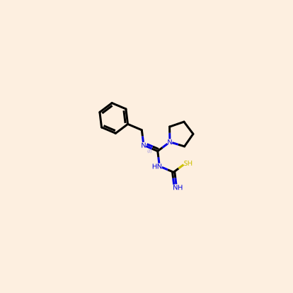 N=C(S)N/C(=N/Cc1ccccc1)N1CCCC1